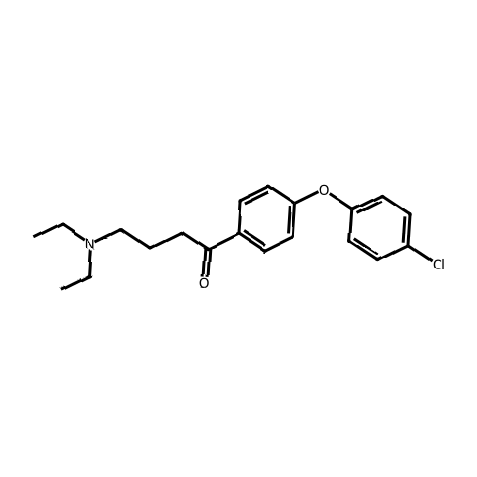 CCN(CC)CCCC(=O)c1ccc(Oc2ccc(Cl)cc2)cc1